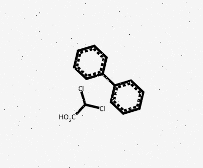 O=C(O)C(Cl)Cl.c1ccc(-c2ccccc2)cc1